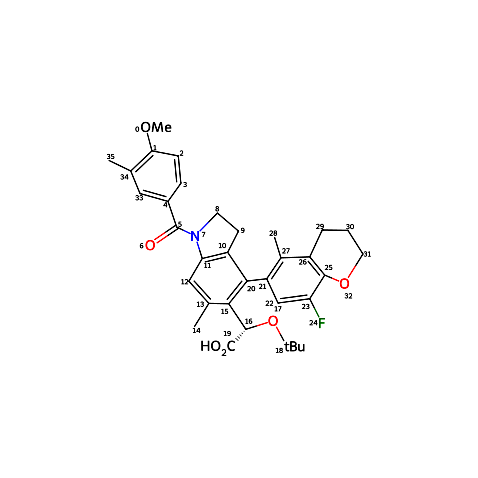 COc1ccc(C(=O)N2CCc3c2cc(C)c([C@H](OC(C)(C)C)C(=O)O)c3-c2cc(F)c3c(c2C)CCCO3)cc1C